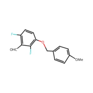 COc1ccc(COc2ccc(F)c(C=O)c2F)cc1